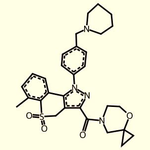 Cc1cccc2c1S(=O)(=O)Cc1c(C(=O)N3CCOC4(CC4)C3)nn(-c3ccc(CN4CCCCC4)cc3)c1-2